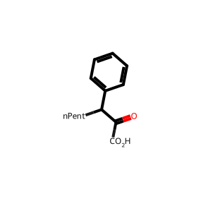 CCCCCC(C(=O)C(=O)O)c1ccccc1